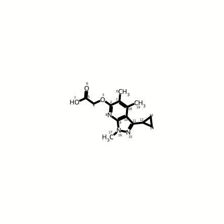 Cc1c(OCC(=O)O)nc2c(c(C3CC3)nn2C)c1C